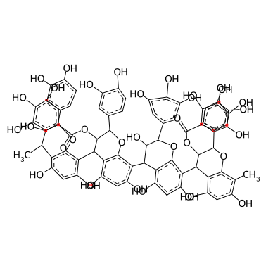 Cc1c(O)cc(O)c2c1OC(c1cc(O)c(O)c(O)c1)C(OC(=O)c1cc(O)c(O)c(O)c1)C2c1c(O)cc(O)c2c1OC(c1cc(O)c(O)c(O)c1)C(O)C2c1c(O)cc(O)c2c1OC(c1ccc(O)c(O)c1)C(OC(=O)c1cc(O)c(O)c(O)c1)C2c1c(O)cc(O)c2c1OC(c1ccc(O)c(O)c1)C(O)C2C